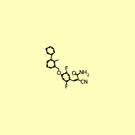 Cc1c(COc2cc(F)c(C=C(C#N)C(N)=O)cc2F)cccc1-c1ccccc1